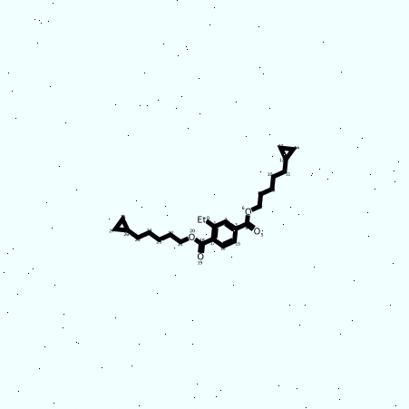 CCc1cc(C(=O)OCCCCCC2CC2)ccc1C(=O)OCCCCCC1CC1